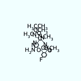 COC(=O)c1ccc(F)cc1[C@@H](C)Oc1cc(-c2c(CN(C)C(=O)OC(C)(C)C)nn(C)c2C#N)nnc1N